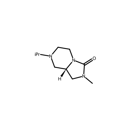 CC(C)N1CCN2C(=O)N(C)C[C@@H]2C1